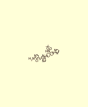 CC(C)(C)OC(=O)NC1CN(c2ncccn2)CCC12CCN(c1ncc(Sc3ccnc(N)c3Cl)c3nccn13)CC2